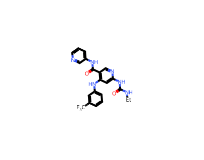 CCNC(=O)Nc1cc(Nc2cccc(C(F)(F)F)c2)c(C(=O)Nc2cccnc2)cn1